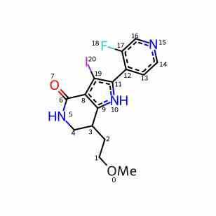 COCCC1CNC(=O)c2c1[nH]c(-c1ccncc1F)c2I